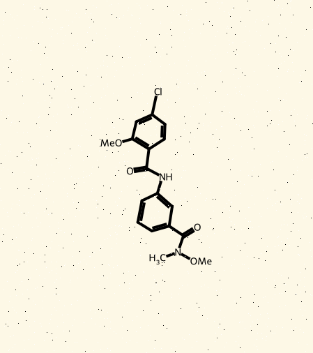 COc1cc(Cl)ccc1C(=O)Nc1cccc(C(=O)N(C)OC)c1